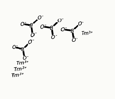 [O-]B([O-])[O-].[O-]B([O-])[O-].[O-]B([O-])[O-].[O-]B([O-])[O-].[Tm+3].[Tm+3].[Tm+3].[Tm+3]